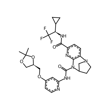 CC1(C)OC[C@H](COc2ccnc(NC(=O)N3c4nc(C(=O)N[C@H](C5CC5)C(F)(F)F)ccc4N4CCC3C4)c2)O1